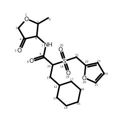 CC1OCC(=O)C1NC(=O)C(CC1CCCCC1)S(=O)(=O)Cc1ccco1